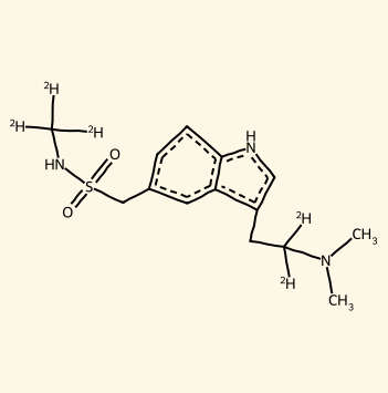 [2H]C([2H])([2H])NS(=O)(=O)Cc1ccc2[nH]cc(CC([2H])([2H])N(C)C)c2c1